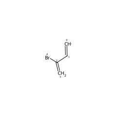 [CH]=CC(=C)Br